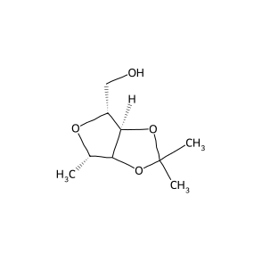 C[C@@H]1O[C@H](CO)[C@H]2OC(C)(C)OC12